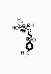 Cc1ccc(S(=O)(=O)CCOP(=O)(O)OP(C)(=O)O)cc1